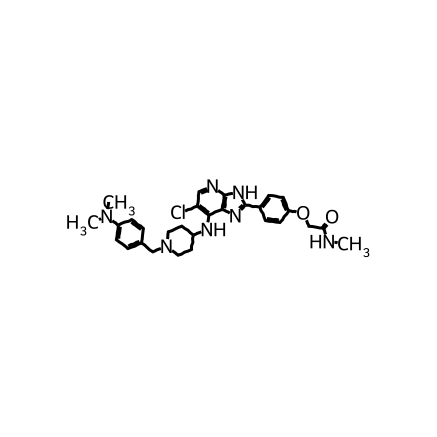 CNC(=O)COc1ccc(-c2nc3c(NC4CCN(Cc5ccc(N(C)C)cc5)CC4)c(Cl)cnc3[nH]2)cc1